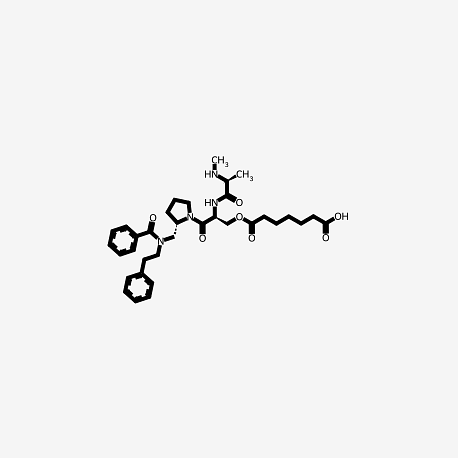 CN[C@@H](C)C(=O)N[C@@H](COC(=O)CCCCCC(=O)O)C(=O)N1CCC[C@H]1CN(CCc1ccccc1)C(=O)c1ccccc1